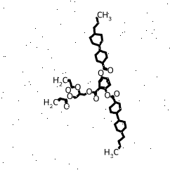 C=CC(=O)OCC(COC(=O)c1cc(OC(=O)C2CCC(C3CCC(CCCC)CC3)CC2)ccc1OC(=O)C1CCC(C2CCC(CCCC)CC2)CC1)OC(=O)C=C